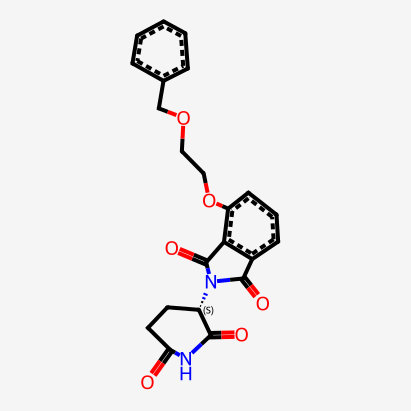 O=C1CC[C@H](N2C(=O)c3cccc(OCCOCc4ccccc4)c3C2=O)C(=O)N1